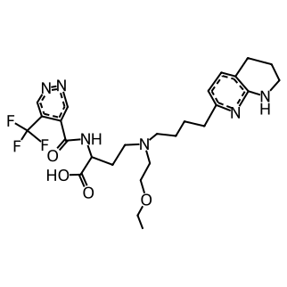 CCOCCN(CCCCc1ccc2c(n1)NCCC2)CCC(NC(=O)c1cnncc1C(F)(F)F)C(=O)O